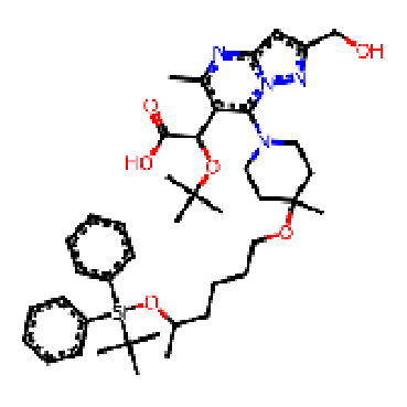 Cc1nc2cc(CO)nn2c(N2CCC(C)(OCCCCC(C)O[Si](c3ccccc3)(c3ccccc3)C(C)(C)C)CC2)c1C(OC(C)(C)C)C(=O)O